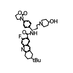 CC(C)(C)C1CCc2nc3cc(F)c(C(=O)N[C@H](CCN4CCC(O)CC4)c4ccc(N5CCOC5=O)cc4)cc3cc2C1